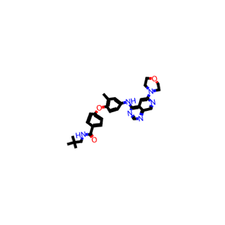 Cc1cc(Nc2ncnc3cnc(N4CCOCC4)cc23)ccc1Oc1ccc(C(=O)NCC(C)(C)C)cc1